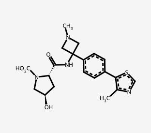 Cc1ncsc1-c1ccc(C2(NC(=O)[C@@H]3C[C@@H](O)CN3C(=O)O)CN(C)C2)cc1